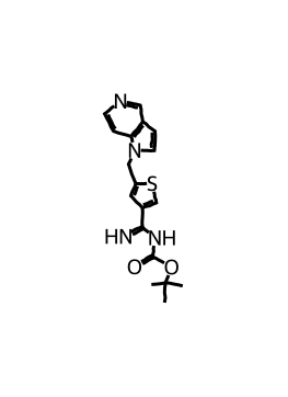 CC(C)(C)OC(=O)NC(=N)c1csc(Cn2ccc3cnccc32)c1